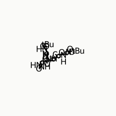 Cc1cc(C(=O)NC2CCN(C(=O)OC(C)(C)C)CC2)ccc1-c1ccc(C[C@H](NC(=O)[C@H]2CC[C@H](CNC(=O)OC(C)(C)C)CC2)C(=O)Nc2ccc3[nH]c(=O)[nH]c3c2)cc1